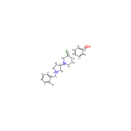 Cc1ccccc1CN1CCC(N2CC[C@@H](c3ccc(O)cc3)[C@H](F)C2)C1